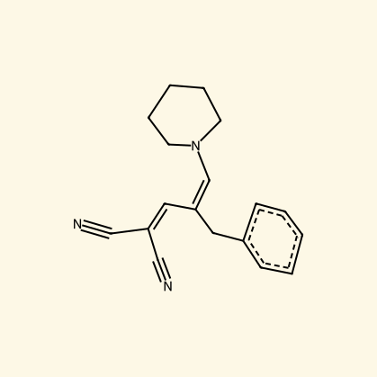 N#CC(C#N)=CC(=CN1CCCCC1)Cc1ccccc1